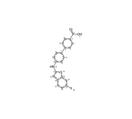 O=C(O)c1ccc(-c2ccc(Nc3nc4ccc(F)cc4s3)cc2)cc1